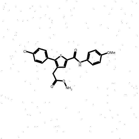 COc1ccc(NC(=O)c2cc(CC(=O)ON)c(-c3ccc(Cl)cc3)s2)cc1